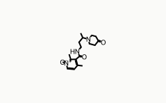 Cc1cc[n+]([O-])c(C)c1C(=O)NCCC(C)N1CCC(=O)CC1